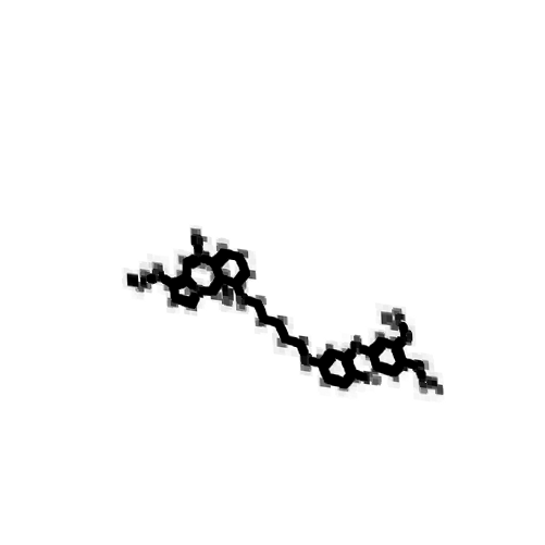 COc1ccc(Oc2cc(OCCCCCOC3CCC=C4[C@@H]3Cn3ccc(OC)c3C=[N+]4[O-])ccc2F)cc1OC